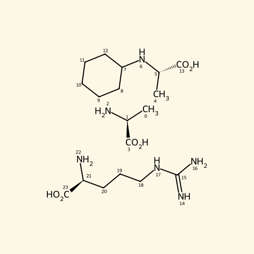 C[C@H](N)C(=O)O.C[C@H](NC1CCCCC1)C(=O)O.N=C(N)NCCC[C@H](N)C(=O)O